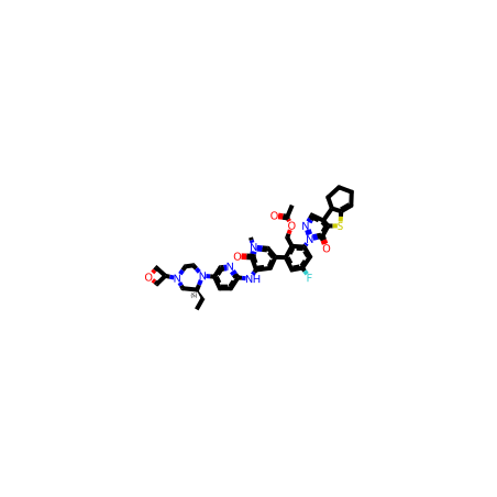 CC[C@H]1CN(C2COC2)CCN1c1ccc(Nc2cc(-c3cc(F)cc(-n4ncc5c(c4=O)SC4=CCCCC45)c3COC(C)=O)cn(C)c2=O)nc1